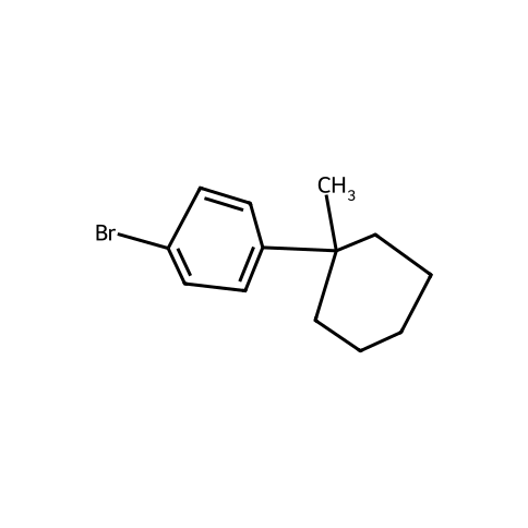 CC1(c2ccc(Br)cc2)CCCCC1